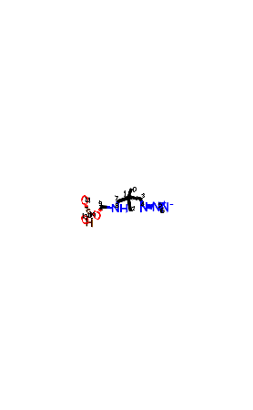 CC(C)(CN=[N+]=[N-])CNCO[SH](=O)=O